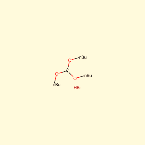 Br.CCCC[O][V]([O]CCCC)[O]CCCC